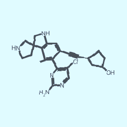 Cc1c(-c2nc(N)ncc2Cl)c(C#C[C@H]2CCC(O)C2)cc2c1C1(CCNC1)CN2